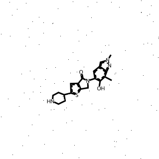 Cc1c(O)c(N2Cc3sc(C4CCNCC4)cc3C2=O)cc2cn(C)nc12